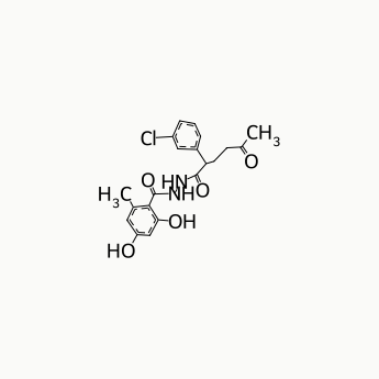 CC(=O)CCC(C(=O)NNC(=O)c1c(C)cc(O)cc1O)c1cccc(Cl)c1